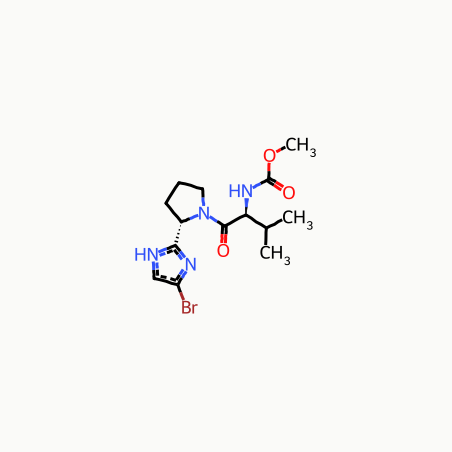 COC(=O)N[C@H](C(=O)N1CCC[C@H]1c1nc(Br)c[nH]1)C(C)C